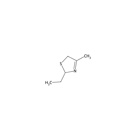 CCC1N=C(C)CS1